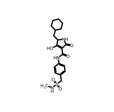 CNS(=O)(=O)Cc1ccc(NC(=O)C2=C(O)C(CC3CCCCC3)NC2=O)cc1